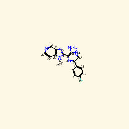 CCn1c(-c2nc(-c3ccc(F)cc3)cnc2N)nc2cnccc21